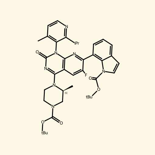 Cc1ccnc(C(C)C)c1-n1c(=O)nc(N2CCN(C(=O)OC(C)(C)C)C[C@@H]2C)c2cc(F)c(-c3cccc4ccn(C(=O)OC(C)(C)C)c34)nc21